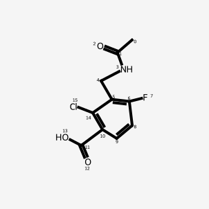 CC(=O)NCc1c(F)ccc(C(=O)O)c1Cl